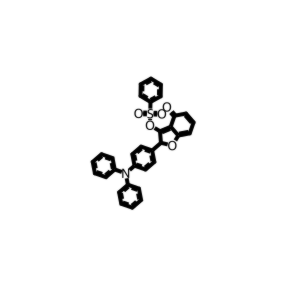 O=C1C=CC=C2OC(c3ccc(N(c4ccccc4)c4ccccc4)cc3)C(OS(=O)(=O)c3ccccc3)=C12